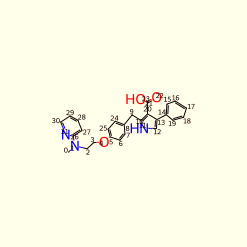 CN(CCOc1ccc(Cc2[nH]cc(-c3ccccc3)c2C(=O)O)cc1)c1ccccn1